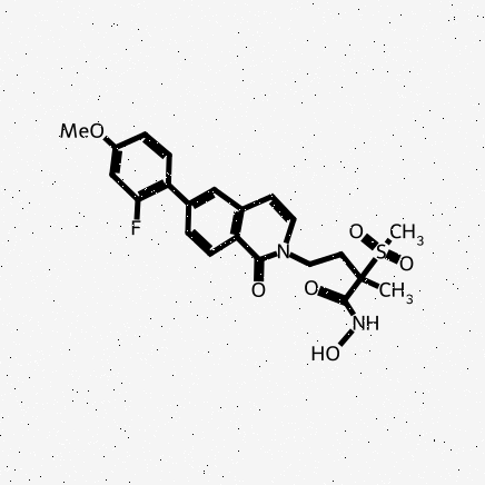 COc1ccc(-c2ccc3c(=O)n(CCC(C)(C(=O)NO)S(C)(=O)=O)ccc3c2)c(F)c1